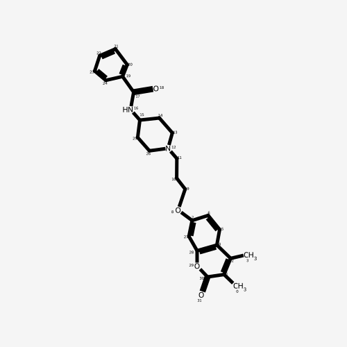 Cc1c(C)c2ccc(OCCCN3CCC(NC(=O)c4ccccc4)CC3)cc2oc1=O